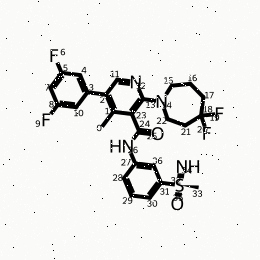 Cc1c(-c2cc(F)cc(F)c2)cnc(N2CCCC(F)(F)CC2)c1C(=O)Nc1cccc([S@](C)(=N)=O)c1